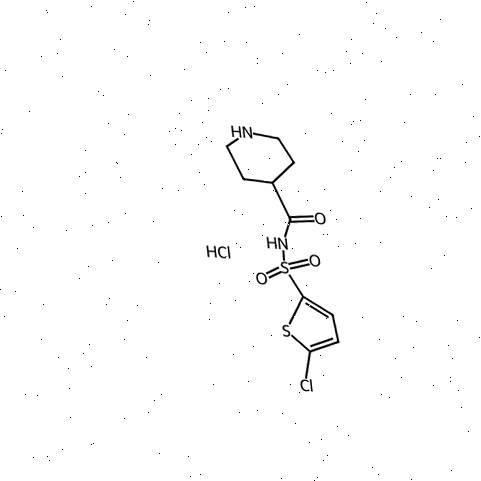 Cl.O=C(NS(=O)(=O)c1ccc(Cl)s1)C1CCNCC1